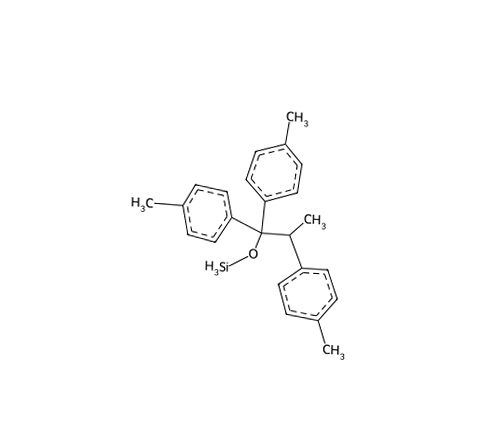 Cc1ccc(C(C)C(O[SiH3])(c2ccc(C)cc2)c2ccc(C)cc2)cc1